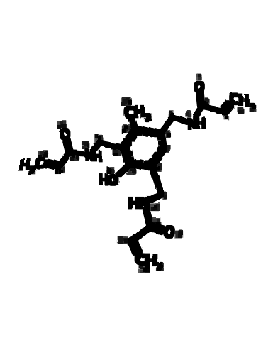 C=CC(=O)NCc1cc(CNC(=O)C=C)c(O)c(CNC(=O)C=C)c1C